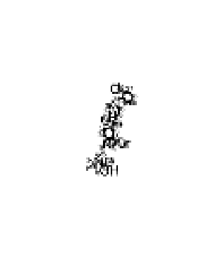 CC(C)(C)N(CCCn1cc(Br)c2cc(S(=O)(=O)N3CCN(Cc4ccccc4Cl)CC3)ccc21)C(=O)O